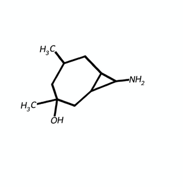 CC1CC2C(N)C2CC(C)(O)C1